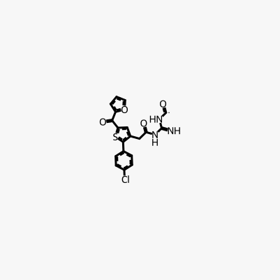 N=C(N[C]=O)NC(=O)Cc1cc(C(=O)c2ccco2)sc1-c1ccc(Cl)cc1